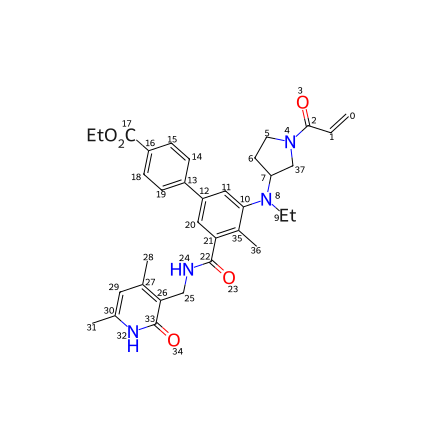 C=CC(=O)N1CCC(N(CC)c2cc(-c3ccc(C(=O)OCC)cc3)cc(C(=O)NCc3c(C)cc(C)[nH]c3=O)c2C)C1